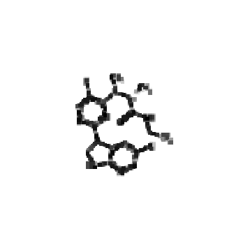 C[C@H](C(=O)NCC(F)(F)F)N(C)c1nc(C2CNc3ncc(Cl)cc32)ncc1F